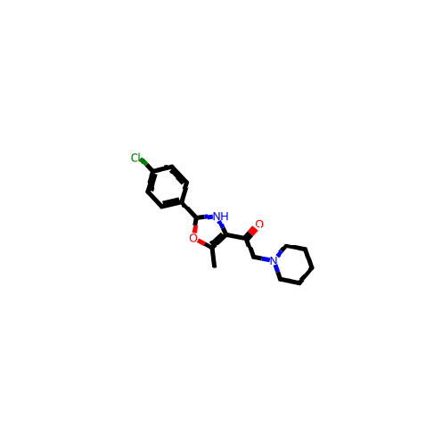 CC1=C(C(=O)CN2CCCCC2)NC(c2ccc(Cl)cc2)O1